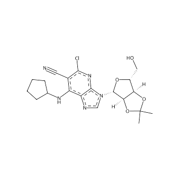 CC1(C)O[C@@H]2[C@H](O1)[C@@H](CO)O[C@H]2n1cnc2c(NC3CCCC3)c(C#N)c(Cl)nc21